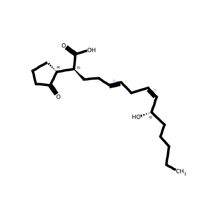 CCCCC[C@H](O)/C=C\C/C=C/CC[C@H](C(=O)O)[C@H]1CCCC1=O